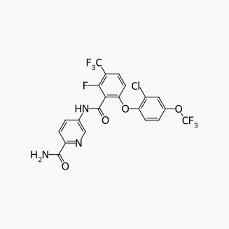 NC(=O)c1ccc(NC(=O)c2c(Oc3ccc(OC(F)(F)F)cc3Cl)ccc(C(F)(F)F)c2F)cn1